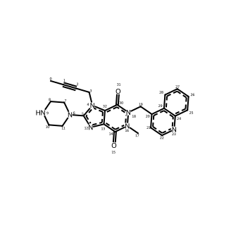 CC#CCn1c(N2CCNCC2)nc2c(=O)n(C)n(Cc3ccnc4ccccc34)c(=O)c21